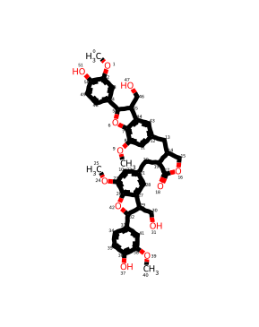 COc1cc(C2Oc3c(OC)cc(CC4COC(=O)C4Cc4cc(OC)c5c(c4)C(CO)C(c4ccc(O)c(OC)c4)O5)cc3C2CO)ccc1O